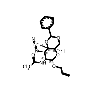 C=CCO[C@H]1O[C@@H]2COC(c3ccccc3)O[C@H]2[C@H](N=[N+]=[N-])[C@H]1NC(=O)C(Cl)(Cl)Cl